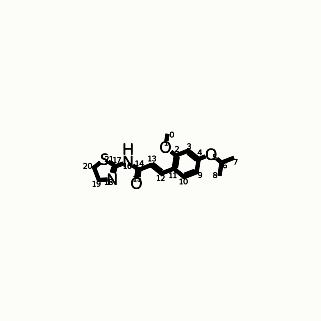 COc1cc(OC(C)C)ccc1/C=C/C(=O)NC1=NCCS1